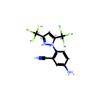 N#Cc1cc(N)ccc1-n1nc(C(F)(F)F)cc1C(F)(F)F